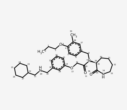 CCCOc1ccc(CN(C(=O)COc2cccc(CNCC3CCCCC3)c2)[C@H]2CCCCNC2=O)cc1C